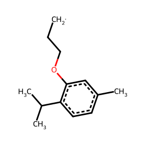 [CH2]CCOc1cc(C)ccc1C(C)C